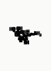 NCCCNc1nc(S)c2ncn([C@@H]3O[C@H](CO)C(O)[C@@H]3O)c2n1